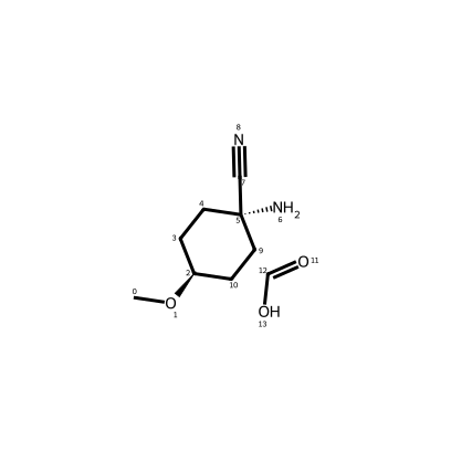 CO[C@H]1CC[C@@](N)(C#N)CC1.O=CO